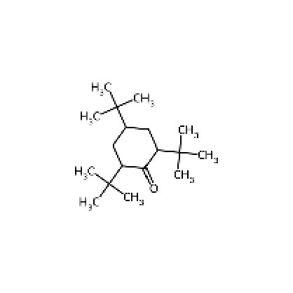 CC(C)(C)C1CC(C(C)(C)C)C(=O)C(C(C)(C)C)C1